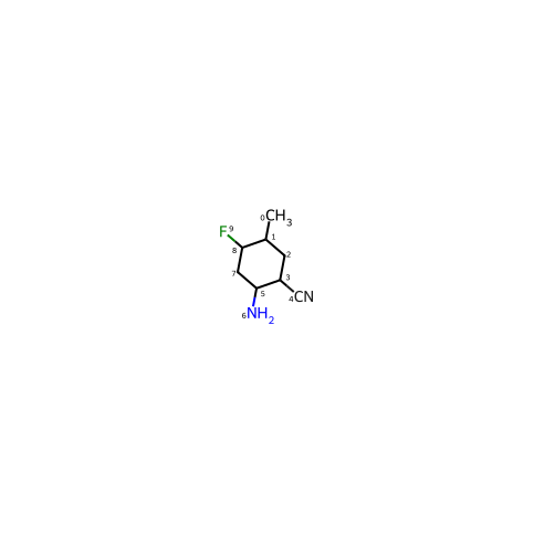 CC1CC(C#N)C(N)CC1F